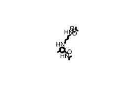 Cc1cc(NCCCCCNS(=O)(=O)C(C)C)cc(C(=O)NC(C)C)c1